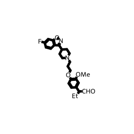 CCC(C=O)c1ccc(OCCCN2CCC(c3noc4cc(F)ccc34)CC2)c(OC)c1